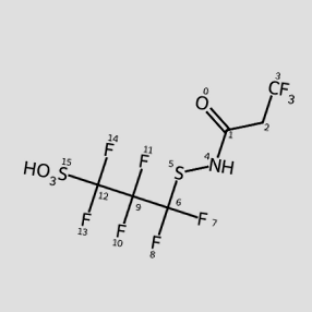 O=C(CC(F)(F)F)NSC(F)(F)C(F)(F)C(F)(F)S(=O)(=O)O